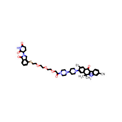 CCc1cc2c(cc1N1CCC(N3CCN(C(=O)COCCOCCOCCSc4cccc5c4CN(C4CCC(=O)NC4=O)C5=O)CC3)CC1)C(C)(C)c1[nH]c3cc(C#N)ccc3c1C2=O